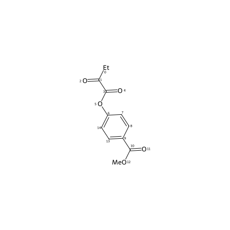 CCC(=O)C(=O)Oc1ccc(C(=O)OC)cc1